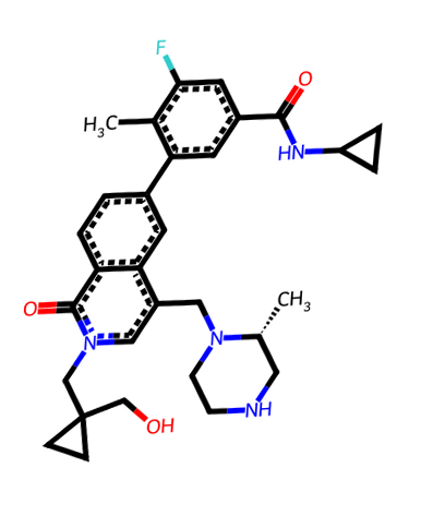 Cc1c(F)cc(C(=O)NC2CC2)cc1-c1ccc2c(=O)n(CC3(CO)CC3)cc(CN3CCNC[C@H]3C)c2c1